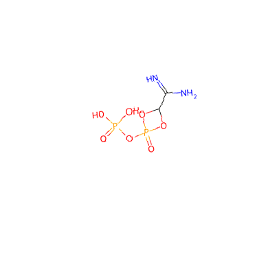 N=C(N)C1OP(=O)(OP(=O)(O)O)O1